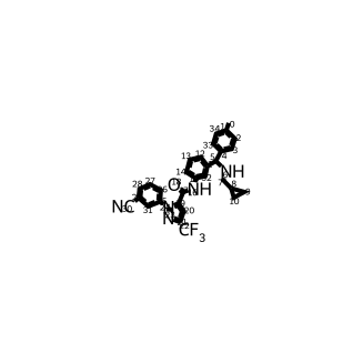 Cc1ccc(C(NCC2CC2)c2cccc(NC(=O)c3cc(C(F)(F)F)nn3-c3cccc(C#N)c3)c2)cc1